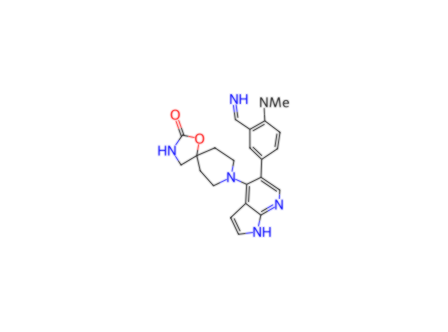 CNc1ccc(-c2cnc3[nH]ccc3c2N2CCC3(CC2)CNC(=O)O3)cc1C=N